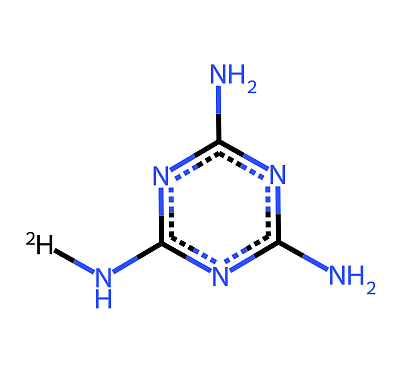 [2H]Nc1nc(N)nc(N)n1